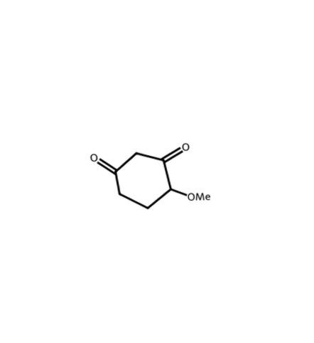 COC1CCC(=O)CC1=O